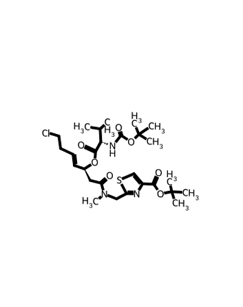 CC(C)[C@H](NC(=O)OC(C)(C)C)C(=O)O[C@H](/C=C/CCCl)CC(=O)N(C)Cc1nc(C(=O)OC(C)(C)C)cs1